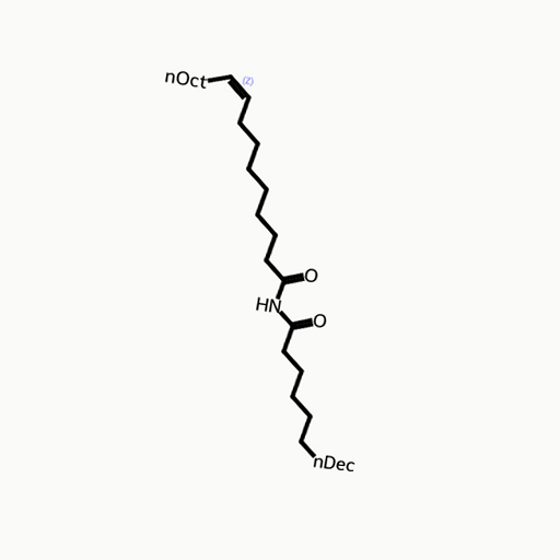 CCCCCCCC/C=C\CCCCCCCC(=O)NC(=O)CCCCCCCCCCCCCCC